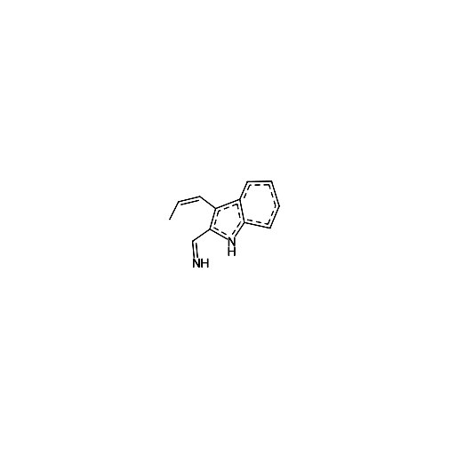 C/C=C\c1c(C=N)[nH]c2ccccc12